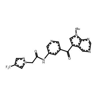 CC(C)(C)n1cc(C(=O)c2cncc(NC(=O)Cn3cc(C(F)(F)F)cn3)c2)c2cncnc21